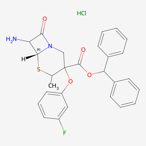 CC1S[C@@H]2C(N)C(=O)N2CC1(Oc1cccc(F)c1)C(=O)OC(c1ccccc1)c1ccccc1.Cl